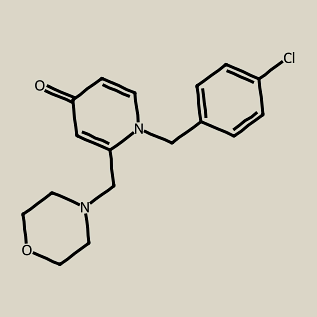 O=c1ccn(Cc2ccc(Cl)cc2)c(CN2CCOCC2)c1